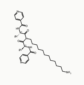 CC(C)[C@H](NC(=O)c1ccncc1)C(=O)N(CCCCCCCCCCCCN)C(=O)[C@@H](NC(=O)c1ccncc1)C(C)C